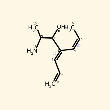 C=C/C=C(\C=C/C)C(O)C(C)N